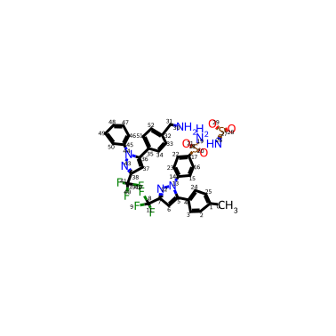 Cc1ccc(-c2cc(C(F)(F)F)nn2-c2ccc(S(N)(=O)=O)cc2)cc1.N=S(=O)=O.NCc1ccc(-c2cc(C(F)(F)F)nn2-c2ccccc2)cc1